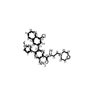 Cn1ccc(-c2nc(N)c(C(=O)NCCN3CCOCC3)nc2-c2cc(Cl)c3ncccc3c2)n1